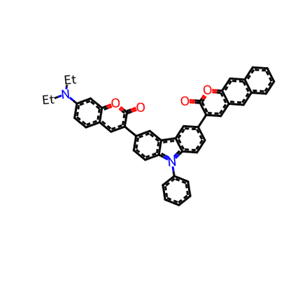 CCN(CC)c1ccc2cc(-c3ccc4c(c3)c3cc(-c5cc6cc7ccccc7cc6oc5=O)ccc3n4-c3ccccc3)c(=O)oc2c1